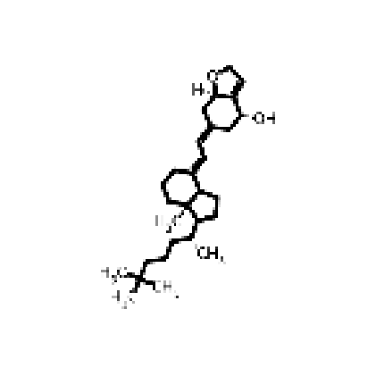 C[C@H](CCCC(C)(C)C)C1CCC2/C(=C/C=C3\C[C@@H](O)C4=CCO[C@@H]4C3)CCC[C@@]21C